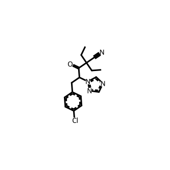 CCC(C#N)(CC)C(=O)C(Cc1ccc(Cl)cc1)n1cncn1